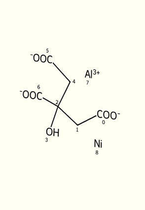 O=C([O-])CC(O)(CC(=O)[O-])C(=O)[O-].[Al+3].[Ni]